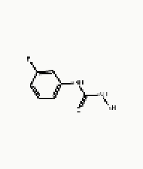 O=C(NS)Nc1cccc(F)c1